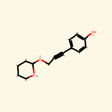 Oc1ccc(C#CCOC2CCCCO2)cc1